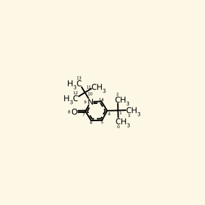 CC(C)(C)c1ccc(=O)n(C(C)(C)C)c1